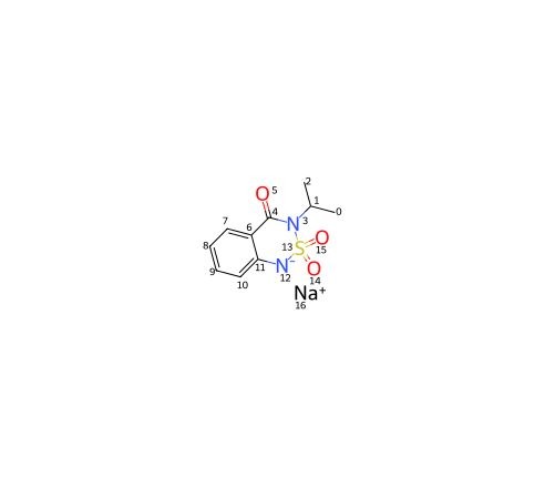 CC(C)N1C(=O)c2ccccc2[N-]S1(=O)=O.[Na+]